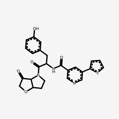 O=C(NC(Cc1cccc(O)c1)C(=O)N1CCC2OCC(=O)C21)c1cncc(-c2cccs2)c1